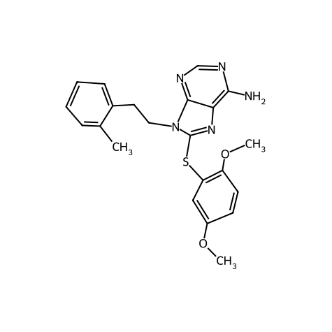 COc1ccc(OC)c(Sc2nc3c(N)ncnc3n2CCc2ccccc2C)c1